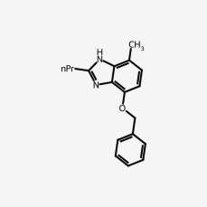 CCCc1nc2c(OCc3ccccc3)ccc(C)c2[nH]1